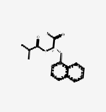 CC(C)C(=O)N[C@@H](Cc1cccc2ccccc12)C(=O)O